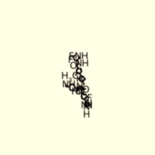 Cc1cc(C(=O)NC2CNCC(F)(F)C2)ccc1-c1ccc(C[C@H](NC(=O)C2CCC(CN)CC2)C(=O)Nc2ccc(-c3nn[nH]n3)c(F)c2)cc1